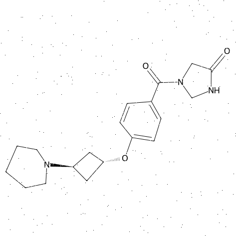 O=C1CN(C(=O)c2ccc(O[C@H]3C[C@H](N4CCCCC4)C3)cc2)CN1